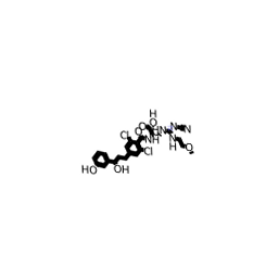 COCCN/C(=N\C#N)NC[C@H](NC(=O)c1c(Cl)cc(CCC(O)c2cccc(O)c2)cc1Cl)C(=O)O